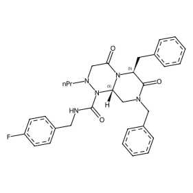 CCCN1CC(=O)N2[C@@H](Cc3ccccc3)C(=O)N(Cc3ccccc3)C[C@@H]2N1C(=O)NCc1ccc(F)cc1